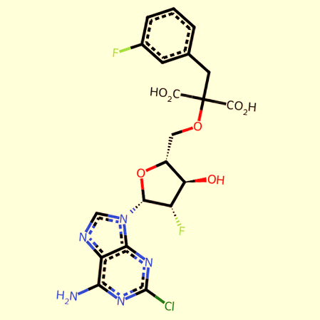 Nc1nc(Cl)nc2c1ncn2[C@@H]1O[C@H](COC(Cc2cccc(F)c2)(C(=O)O)C(=O)O)[C@@H](O)[C@@H]1F